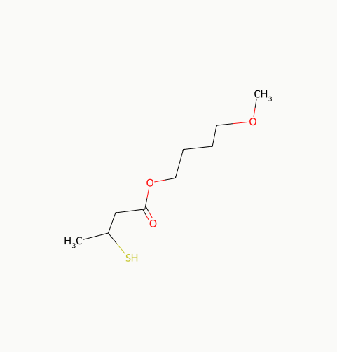 COCCCCOC(=O)CC(C)S